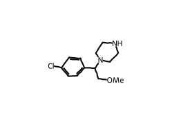 COCC(c1ccc(Cl)cc1)N1CCNCC1